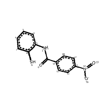 O=C(Nc1ccccc1S)c1ccc([N+](=O)[O-])cc1